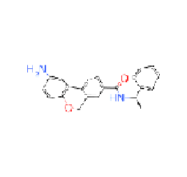 C[C@@H](NC(=O)c1ccc2c(c1)COc1ccc(N)cc1-2)c1ccccc1